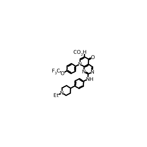 CCN1CCC(c2ccc(Nc3ncc4c(=O)c(C(=O)O)cn(-c5ccc(OC(F)(F)F)cc5)c4n3)cc2)CC1